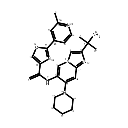 C=C(Nc1cn2cc(C(C)(C)N)nc2cc1N1CCCCC1)c1coc(-c2ccnc(C)c2)n1